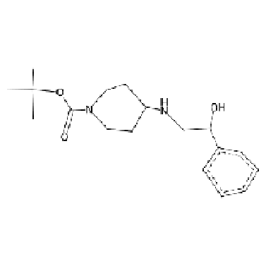 CC(C)(C)OC(=O)N1CCC(NCC(O)c2ccccc2)CC1